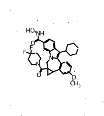 COc1ccc2c(c1)C1CC1(C(=O)N1CCC(F)(F)CC1)Cn1c-2c(C2CCCCC2)c2ccc(C(=O)NO)cc21